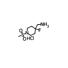 CS(=O)(=O)N1CCC(F)(CN)CC1.Cl